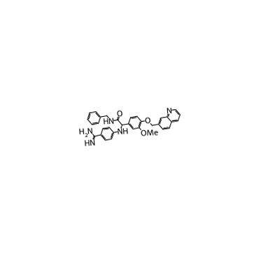 COc1cc([C@@H](Nc2ccc(C(=N)N)cc2)C(=O)NCc2ccccc2)ccc1OCc1ccc2cccnc2c1